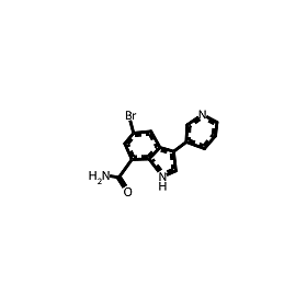 NC(=O)c1cc(Br)cc2c(-c3cccnc3)c[nH]c12